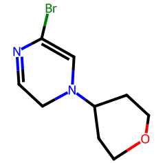 BrC1=CN(C2CCOCC2)CC=N1